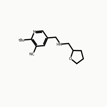 CC(C)(C)c1ncc(CNCC2CCCO2)cc1C#N